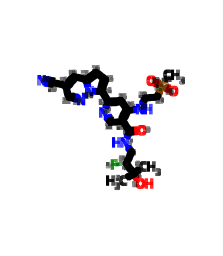 CC(C)(O)[C@H](F)CNC(=O)c1cnc(-c2ccc3cc(C#N)cnn23)cc1NCCS(C)(=O)=O